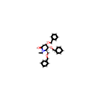 CCN1C(=O)C[C@@H](OCc2ccccc2)[C@H](OCc2ccccc2)[C@H]1COCc1ccccc1